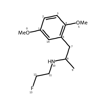 COc1ccc(OC)c(CC(C)NCCF)c1